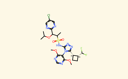 COc1ncnc(OC)c1-n1c(NS(=O)(=O)C(C)C(OC(C)C)c2ncc(Cl)cn2)nnc1[C@H]1CC[C@H]1C(F)F